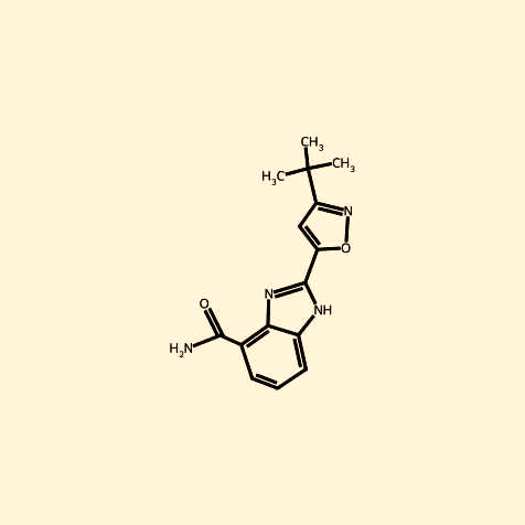 CC(C)(C)c1cc(-c2nc3c(C(N)=O)cccc3[nH]2)on1